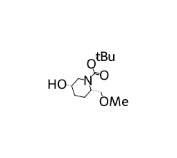 COC[C@@H]1CC[C@H](O)CN1C(=O)OC(C)(C)C